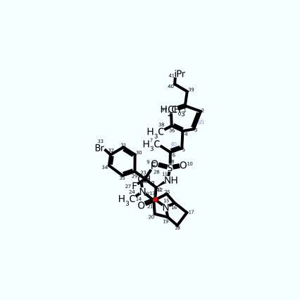 C=C(/C=C\C(/C=C(\C)S(=O)(=O)N[C@@H](C(=O)N1C2CCC1CC(N(C)C)C2)C(F)(F)c1ccc(Br)cc1)=C(C)C)CCC(C)C